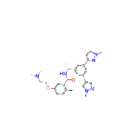 Cc1ccc(OCCN(C)C)cc1C(=O)N[C@H](C)c1cc(-c2cnn(C)c2)cc(-c2ccn(C)n2)c1